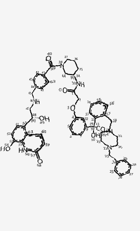 O=C(COc1cccc([C@@](O)(C(=O)O)c2ccccc2CC2CCN(Cc3ccccc3)CC2)c1)N[C@@H]1CCCN(C(=O)c2ccc(CNC[C@H](O)c3ccc(O)c4[nH]c(=O)ccc34)cc2)C1